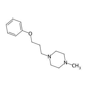 CN1CCN(CCCOc2c[c]ccc2)CC1